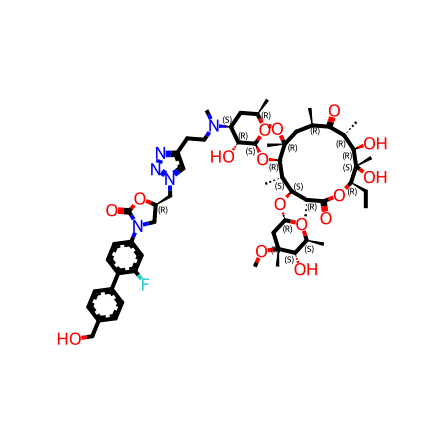 CC[C@H]1OC(=O)[C@H](C)[C@@H](O[C@H]2C[C@@](C)(OC)[C@@H](O)[C@H](C)O2)[C@H](C)[C@@H](O[C@@H]2O[C@H](C)C[C@H](N(C)CCc3cn(C[C@H]4CN(c5ccc(-c6ccc(CO)cc6)c(F)c5)C(=O)O4)nn3)[C@H]2O)[C@](C)(OC)C[C@@H](C)C(=O)[C@H](C)[C@@H](O)[C@]1(C)O